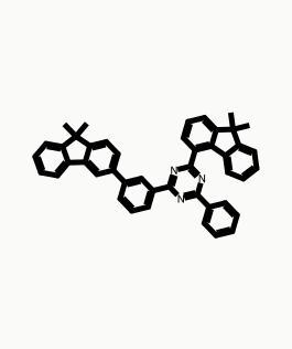 CC1(C)c2ccccc2-c2cc(-c3cccc(-c4nc(-c5ccccc5)nc(-c5cccc6c5-c5ccccc5C6(C)C)n4)c3)ccc21